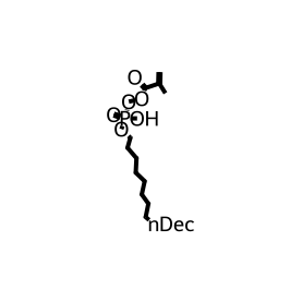 C=C(C)C(=O)OOP(=O)(O)OCCCCCCCCCCCCCCCCCC